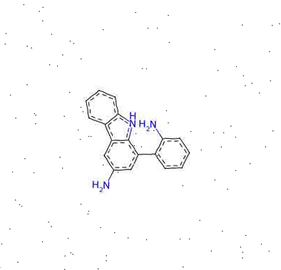 Nc1cc(-c2ccccc2N)c2[nH]c3ccccc3c2c1